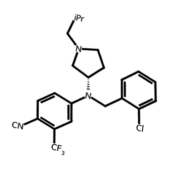 [C-]#[N+]c1ccc(N(Cc2ccccc2Cl)[C@H]2CCN(CC(C)C)C2)cc1C(F)(F)F